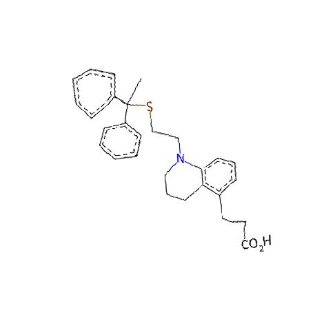 CC(SCCN1CCCc2c(CCC(=O)O)cccc21)(c1ccccc1)c1ccccc1